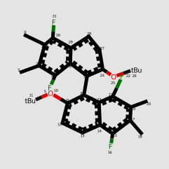 Cc1c(C)c(F)c2c(-c3c(OC(C)(C)C)ccc4c(F)c(C)c(C)c(F)c34)c(OC(C)(C)C)ccc2c1F